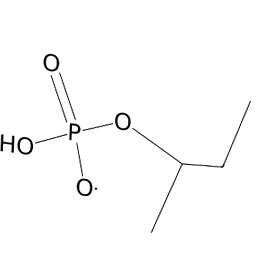 CCC(C)OP([O])(=O)O